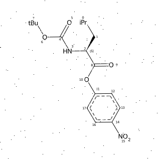 CC(C)C[C@H](NC(=O)OC(C)(C)C)C(=O)Oc1ccc([N+](=O)[O-])cc1